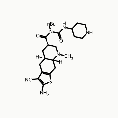 CCCCN(C(=O)NC1CCNCC1)C(=O)[C@@H]1C[C@@H]2Cc3c(sc(N)c3C#N)C[C@H]2N(C)C1